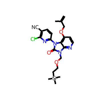 C=C(C)COc1ccnc2c1n(-c1ccc(C#N)c(Cl)n1)c(=O)n2COCC[Si](C)(C)C